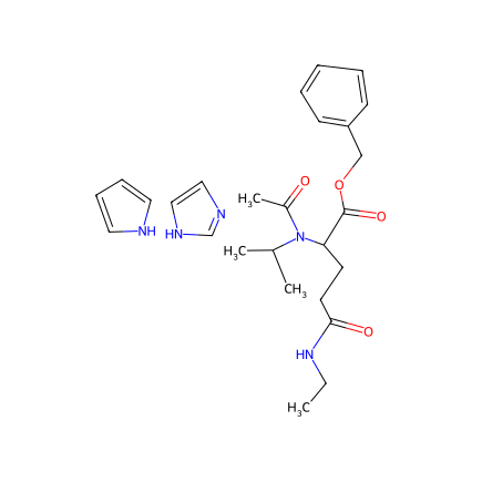 CCNC(=O)CCC(C(=O)OCc1ccccc1)N(C(C)=O)C(C)C.c1c[nH]cn1.c1cc[nH]c1